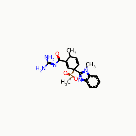 CC1C=CC(c2nc3ccccc3n2C)(S(C)(=O)=O)C=C1C(=O)N=C(N)N